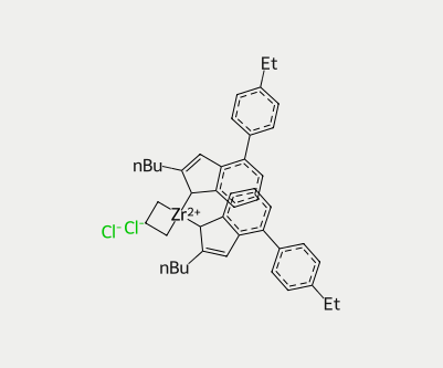 CCCCC1=Cc2c(-c3ccc(CC)cc3)cccc2[CH]1[Zr+2]1([CH]2C(CCCC)=Cc3c(-c4ccc(CC)cc4)cccc32)[CH2]C[CH2]1.[Cl-].[Cl-]